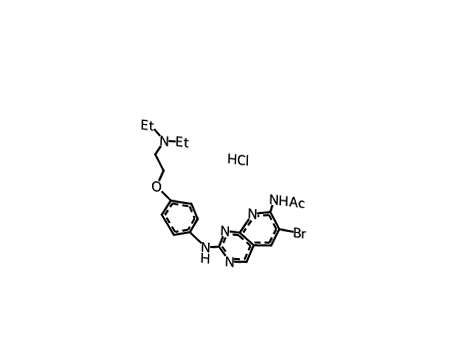 CCN(CC)CCOc1ccc(Nc2ncc3cc(Br)c(NC(C)=O)nc3n2)cc1.Cl